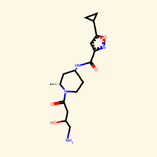 C[C@@H]1C[C@H](NC(=O)c2cc(C3CC3)on2)CCN1C(=O)CC(O)CN